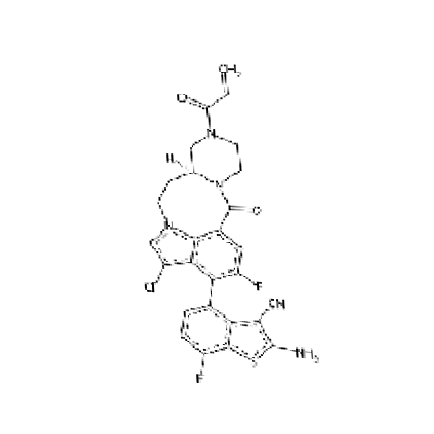 C=CC(=O)N1CCN2C(=O)c3cc(F)c(-c4ccc(F)c5sc(N)c(C#N)c45)c4c(Cl)cn(c34)CC[C@H]2C1